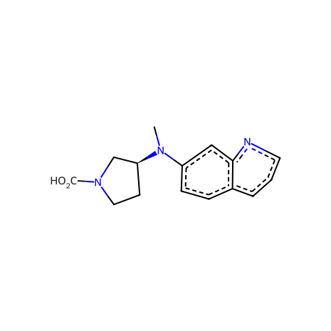 CN(c1ccc2cccnc2c1)[C@H]1CCN(C(=O)O)C1